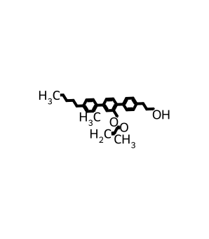 C=C(C)C(=O)OCc1cc(-c2ccc(CCCCC)cc2C)ccc1-c1ccc(CCCO)cc1